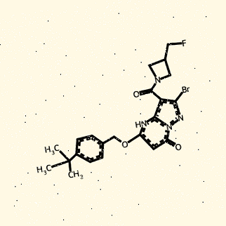 CC(C)(C)c1ccc(COc2cc(=O)n3nc(Br)c(C(=O)N4CC(CF)C4)c3[nH]2)cc1